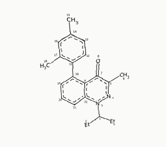 CCC(CC)n1nc(C)c(=O)c2c(-c3ccc(C)cc3C)cccc21